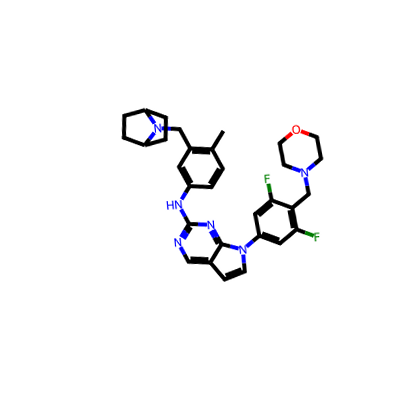 Cc1ccc(Nc2ncc3ccn(-c4cc(F)c(CN5CCOCC5)c(F)c4)c3n2)cc1CN1C2CCC1CC2